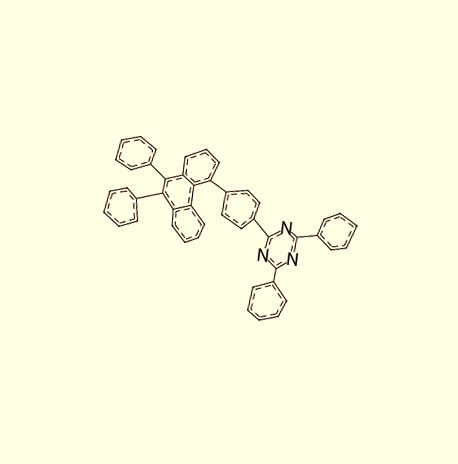 c1ccc(-c2nc(-c3ccccc3)nc(-c3ccc(-c4cccc5c(-c6ccccc6)c(-c6ccccc6)c6ccccc6c45)cc3)n2)cc1